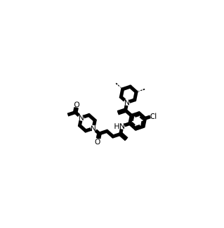 C=C(CCC(=O)N1CCN(C(C)=O)CC1)Nc1ccc(Cl)cc1C(=C)N1C[C@H](C)C[C@H](C)C1